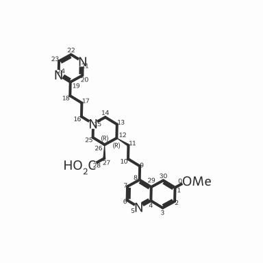 COc1ccc2nccc(CCC[C@@H]3CCN(CCCc4cnccn4)C[C@@H]3CC(=O)O)c2c1